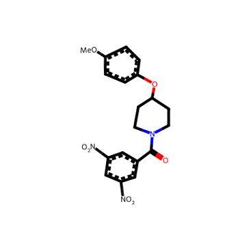 COc1ccc(OC2CCN(C(=O)c3cc([N+](=O)[O-])cc([N+](=O)[O-])c3)CC2)cc1